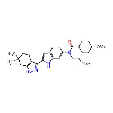 COCCN(c1ccc2cc(-c3n[nH]c4c3CCC(C)(C)C4)[nH]c2c1)C(=O)[C@H]1CC[C@@H](OC)CC1